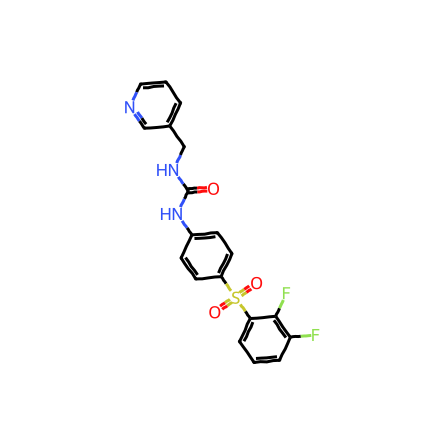 O=C(NCc1cccnc1)Nc1ccc(S(=O)(=O)c2cccc(F)c2F)cc1